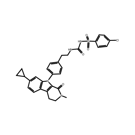 CN1CCc2c(n(-c3ccc(CCNC(=O)NS(=O)(=O)c4ccc(Cl)cc4)cc3)c3cc(C4CC4)ccc23)C1=O